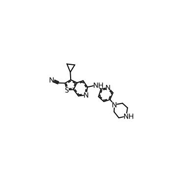 N#Cc1sc2cnc(Nc3ccc(N4CCNCC4)cn3)cc2c1C1CC1